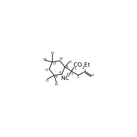 C=CCC(C#N)(C(=O)OCC)C1(C)CC(C)(C)CC(C)(C)C1